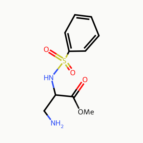 COC(=O)C(CN)NS(=O)(=O)c1ccccc1